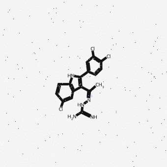 C/C(=N/NC(=N)N)c1c(-c2ccc(Cl)c(Cl)c2)[nH]c2ccc(Cl)cc12